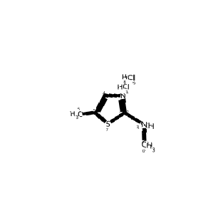 CNc1ncc(C)s1.Cl.Cl